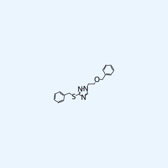 c1ccc(COCCn2cnc(SCc3ccccc3)n2)cc1